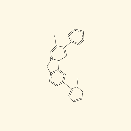 CC1=CN2Cc3ccc(C4=CC=CCC4C)cc3C2C=C1c1ccccc1